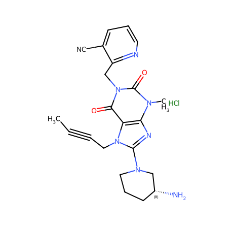 CC#CCn1c(N2CCC[C@@H](N)C2)nc2c1c(=O)n(Cc1ncccc1C#N)c(=O)n2C.Cl